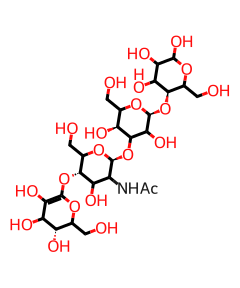 CC(=O)NC1C(O)[C@H](OC2=C(O)C(O)[C@@H](O)C(CO)O2)C(CO)O[C@H]1OC1C(O)[C@H](O[C@@H]2C(CO)OC(O)C(O)C2O)OC(CO)[C@@H]1O